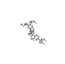 COc1cc2cc(CC(C)(C(=O)O)c3ccc(C(C)C)cc3)sc2cc1OC